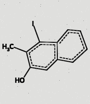 Cc1c(O)cc2ccccc2c1I